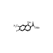 COC(=O)c1ccc2cc(F)c(C)cc2c1O